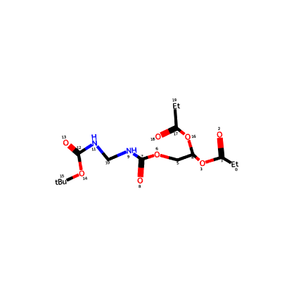 CCC(=O)OC(COC(=O)NCNC(=O)OC(C)(C)C)OC(=O)CC